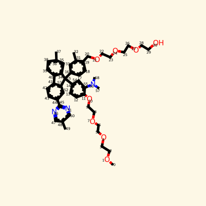 COCCOCCOCCOc1ccc(C2(c3ccc(COCCOCCOCCO)c(C)c3)c3cc(C)ccc3-c3ccc(-c4ncc(C)cn4)cc32)cc1N(C)C